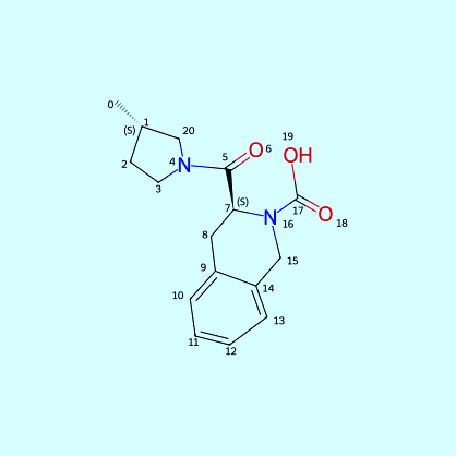 C[C@H]1CCN(C(=O)[C@@H]2Cc3ccccc3CN2C(=O)O)C1